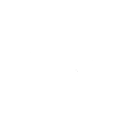 C=N/C(O)=C\C/C=C\C=C/CC